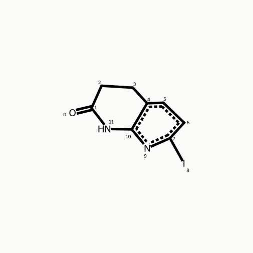 O=C1CCc2ccc(I)nc2N1